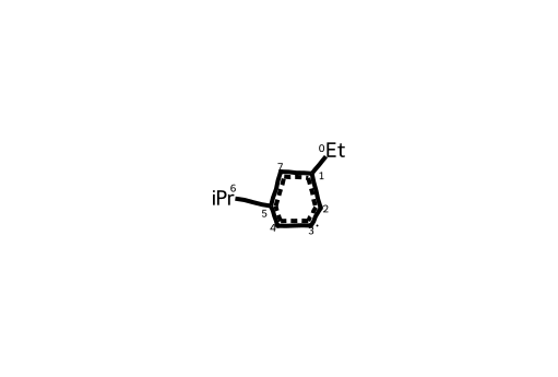 CCc1c[c]cc(C(C)C)c1